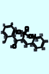 Cc1ccccc1C(=O)C(=Cc1ccccc1)P(=O)(O)O